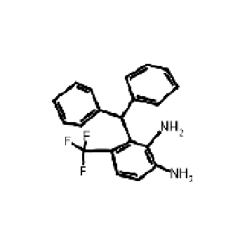 Nc1ccc(C(F)(F)F)c(C(c2ccccc2)c2ccccc2)c1N